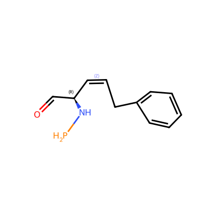 O=C[C@@H](/C=C\Cc1ccccc1)NP